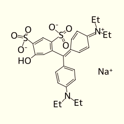 CCN(CC)c1ccc(C(=C2C=CC(=[N+](CC)CC)C=C2)c2cc(O)c(S(=O)(=O)[O-])cc2S(=O)(=O)[O-])cc1.[Na+]